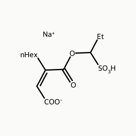 CCCCCCC(=CC(=O)[O-])C(=O)OC(CC)S(=O)(=O)O.[Na+]